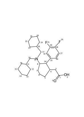 O=C(O)CC1CCCC(N(CC2CCCCC2)CC2CCCCC2)C1c1ccc(F)c(F)c1